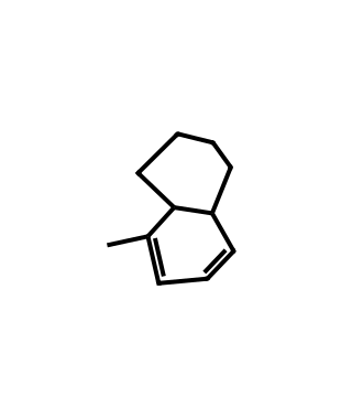 CC1=CC=CC2CCCCC12